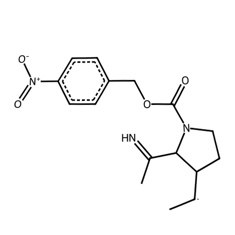 C[CH]C1CCN(C(=O)OCc2ccc([N+](=O)[O-])cc2)C1C(C)=N